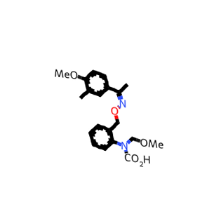 COCN(C(=O)O)c1ccccc1CON=C(C)c1ccc(OC)c(C)c1